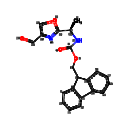 C[C@@H](NC(=O)OCC1c2ccccc2-c2ccccc21)c1nc(C=O)co1